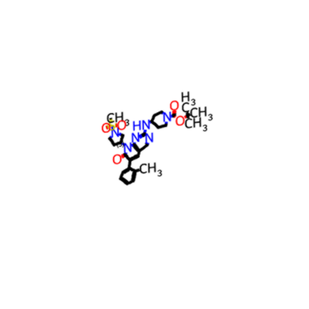 Cc1ccccc1-c1cc2cnc(NC3CCN(C(=O)OC(C)(C)C)CC3)nc2n([C@H]2CCN(S(C)(=O)=O)C2)c1=O